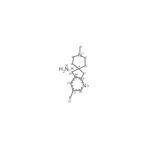 CN1CCC2(CC1)Cc1ncc(F)cc1[C@@H]2N